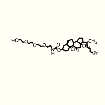 CC(C)CCCC(C)C1CCC2C3CC=C4CC(OC(=O)NCCOCCOCCOCCO)CCC4(C)C3CCC12C